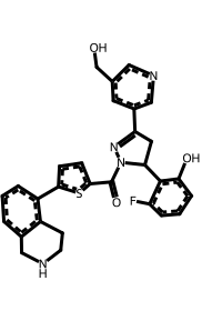 O=C(c1ccc(-c2cccc3c2CCNC3)s1)N1N=C(c2cncc(CO)c2)CC1c1c(O)cccc1F